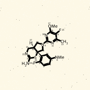 CNc1ccc(F)c([C@]23CN(c4nc(C)c(F)c(OC)n4)C[C@@H]2CN=C(N)S3)c1